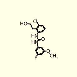 COc1cc(F)cc(NC(=O)Nc2cccc(Cl)c2CCO)c1